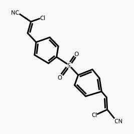 N#CC(Cl)=Cc1ccc(S(=O)(=O)c2ccc(C=C(Cl)C#N)cc2)cc1